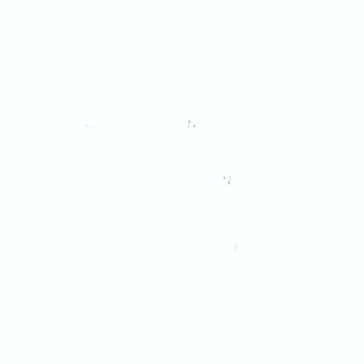 Cc1c(F)n(C)c2ncc(Br)cc12